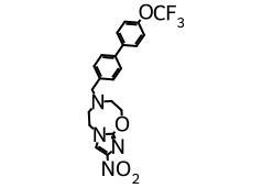 O=[N+]([O-])c1cn2c(n1)OCCN(Cc1ccc(-c3ccc(OC(F)(F)F)cc3)cc1)CC2